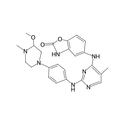 COC1CN(c2ccc(Nc3ncc(C)c(Nc4ccc5oc(=O)[nH]c5c4)n3)cc2)CCN1C